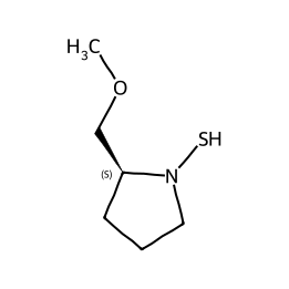 COC[C@@H]1CCCN1S